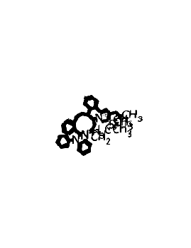 C=C1CC2C(CCc3ccccc3-c3n(-c4ccccc4)c4ccccc4[n+]31)c1ccccc1-c1cc(CC(C)C)c([Si](C)(C)C)c[n+]12